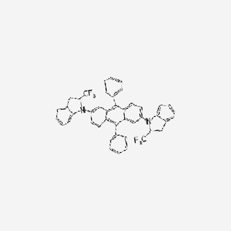 FC(F)(F)C1Cc2ccccc2N1c1ccc2c(-c3ccccc3)c3cc(N4c5ccccc5CC4C(F)(F)F)ccc3c(-c3ccccc3)c2c1